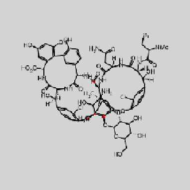 CN[C@H](CC(C)C)C(=O)N[C@H]1C(=O)N[C@@H](CC(N)=O)C(=O)N[C@H]2C(=O)N[C@H]3C(=O)N[C@H](C(=O)N[C@@H](C(=O)O)c4cc(O)cc(O)c4-c4cc3ccc4O)[C@H](O)c3ccc(c(Cl)c3)Oc3cc2cc(c3O[C@@H]2O[C@H](CO)[C@@H](O)[C@H](O)[C@H]2OC2C[C@](C)(N)[C@H](O)[C@H](C)O2)Oc2ccc(cc2Cl)[C@H]1O